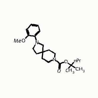 CCCC(C)(C)OC(=O)N1CCC2(CC1)CCN(c1ccccc1OC)C2